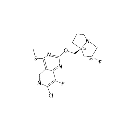 CSc1nc(OC[C@@]23CCCN2C[C@H](F)C3)nc2c(F)c(Cl)ncc12